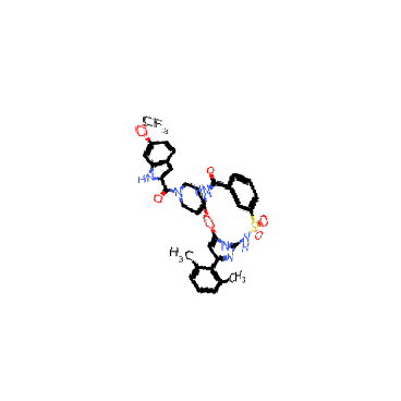 Cc1cccc(C)c1-c1cc2nc(n1)NS(=O)(=O)c1cccc(c1)C(=O)NC1(CCN(C(=O)c3cc4ccc(OC(F)(F)F)cc4[nH]3)CC1)O2